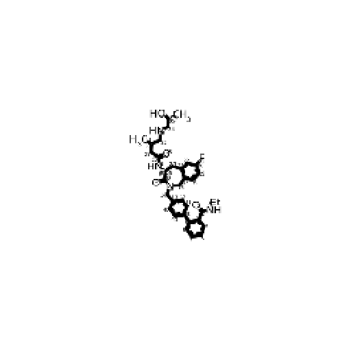 CCNC(=O)c1ccccc1-c1ccc(CN2Cc3ccc(F)cc3C[C@@H](NC(=O)CC(C)CNC[C@@H](C)O)C2=O)cc1